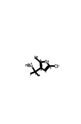 CCCCC(C)(C)c1cc(Cl)sc1I